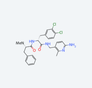 CN[C@@H](Cc1ccccc1)C(=O)N[C@H](Cc1ccc(Cl)c(Cl)c1)C(=O)NCc1ccc(N)nc1C